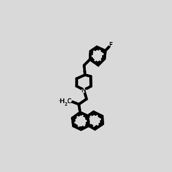 [CH2]C(CN1CCC(Cc2ccc(F)cc2)CC1)c1cccc2ccccc12